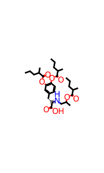 CCCC(C)C(=O)Oc1ccc(C[C@H](NCC(C)OC(=O)C(C)CCC)C(=O)O)cc1OC(=O)C(C)CCC